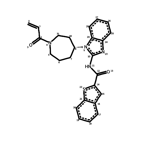 C=CC(=O)N1CCC[C@@H](n2c(NC(=O)c3cc4ccccc4s3)nc3ccccc32)CC1